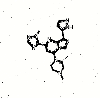 C[C@@H]1CN(C)CCN1c1cc(-c2ncnn2C)nc2c(-c3ccn[nH]3)ncn12